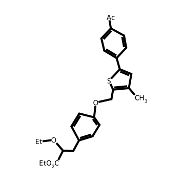 CCOC(=O)C(Cc1ccc(OCc2sc(-c3ccc(C(C)=O)cc3)cc2C)cc1)OCC